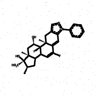 C[C@@H]1CC2C3C=C(F)C4=Cc5c(cnn5-c5ccccc5)C[C@]4(C)[C@@]3(F)[C@@H](O)C[C@]2(C)[C@@]1(O)C(=O)O